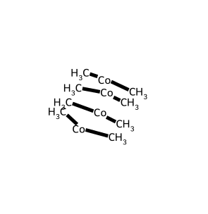 [CH3][Co][CH3].[CH3][Co][CH3].[CH3][Co][CH3].[CH3][Co][CH3]